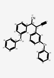 C#C[C](c1cccc(Oc2ccccc2)c1)C(C#N)c1cccc(Oc2ccccc2)c1